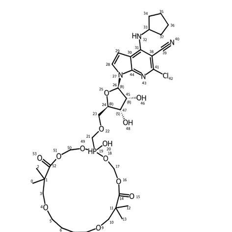 CC1(C)COCCCCOCC(C)(C)C(=O)OCO[PH](O)(COC[C@H]2O[C@@H](n3ccc4c(NC5CCCC5)c(C#N)c(Cl)nc43)[C@H](O)[C@@H]2O)OCOC1=O